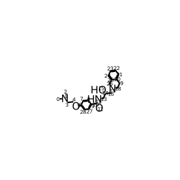 CN(C)CCOc1ccc(C(=O)NCC(O)CN2CCc3ccccc3C2)cc1